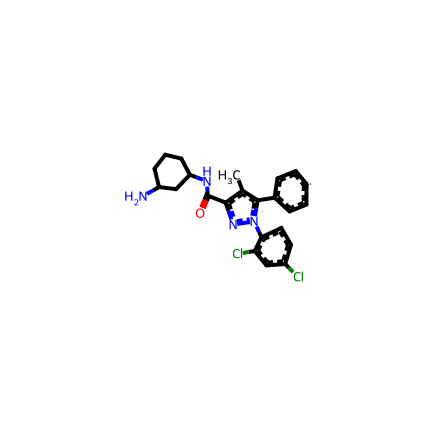 Cc1c(C(=O)NC2CCCC(N)C2)nn(-c2ccc(Cl)cc2Cl)c1-c1cc[c]cc1